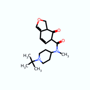 CN(C(=O)C1C=CC2=COCC2C1=O)C1CCN(C(C)(C)C)CC1